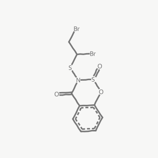 O=C1c2ccccc2OS(=O)N1SC(Br)CBr